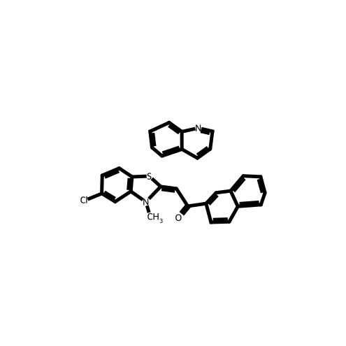 CN1C(=CC(=O)c2ccc3ccccc3c2)Sc2ccc(Cl)cc21.c1ccc2ncccc2c1